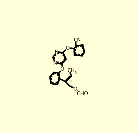 C/C=C(/COC=O)c1ccccc1Oc1cc(Oc2ccccc2C#N)ncn1